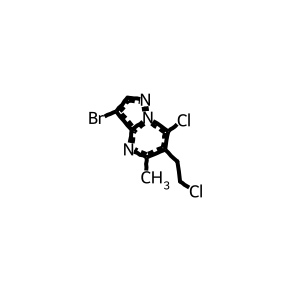 Cc1nc2c(Br)cnn2c(Cl)c1CCCl